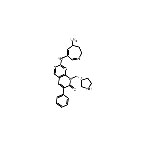 CC1C=C(Nc2ncc3cc(-c4ccccc4)c(=O)n(C[C@@H]4CCNC4)c3n2)C=NCC1